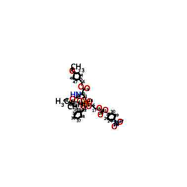 COc1ccc(COC(=O)C(COP(=O)(OCCOC(=O)Oc2ccc([N+](=O)[O-])cc2)OCc2ccccc2)NC(=O)OC(C)(C)C)cc1